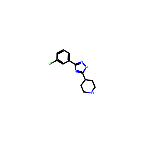 Clc1cccc(-c2n[nH]c(C3CCNCC3)n2)c1